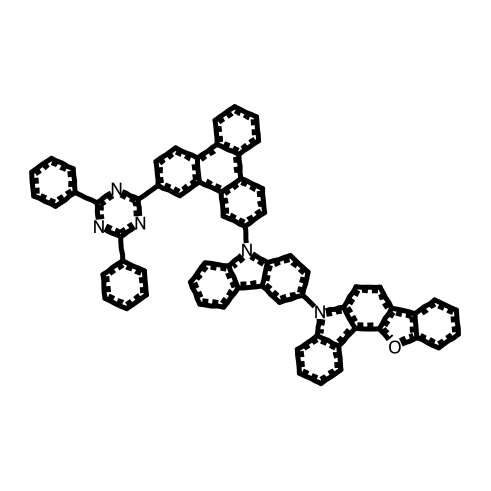 c1ccc(-c2nc(-c3ccccc3)nc(-c3ccc4c5ccccc5c5ccc(-n6c7ccccc7c7cc(-n8c9ccccc9c9c%10oc%11ccccc%11c%10ccc98)ccc76)cc5c4c3)n2)cc1